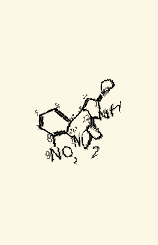 O=C1C=C(c2cccc([N+](=O)[O-])c2[N+](=O)[O-])C(=O)N1